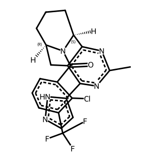 Cc1nc(-c2ccn[nH]2)c2c(n1)[C@@H]1CCC[C@H](C2)N1C(=O)c1cccc(C(F)(F)F)c1Cl